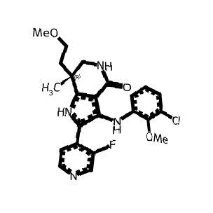 COCC[C@]1(C)CNC(=O)c2c1[nH]c(-c1ccncc1F)c2Nc1cccc(Cl)c1OC